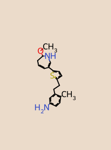 COC1CC=CC(c2ccc(CCc3cc(N)ccc3C)s2)=CN1